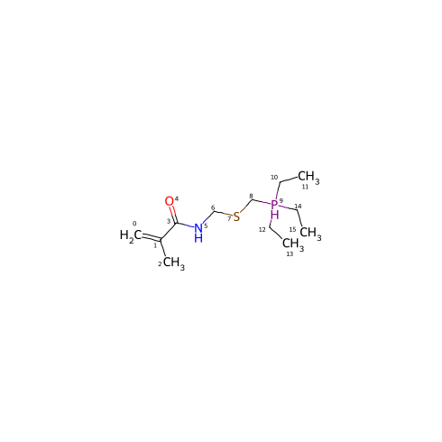 C=C(C)C(=O)NCSC[PH](CC)(CC)CC